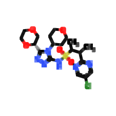 CC(c1ncc(Cl)cn1)C(C)S(=O)(=O)Nc1nnc([C@H]2COCCO2)n1C1CCOCC1